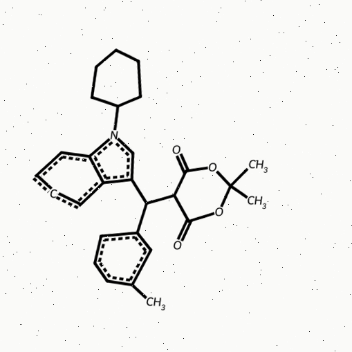 Cc1cccc(C(c2cn(C3CCCCC3)c3ccccc23)C2C(=O)OC(C)(C)OC2=O)c1